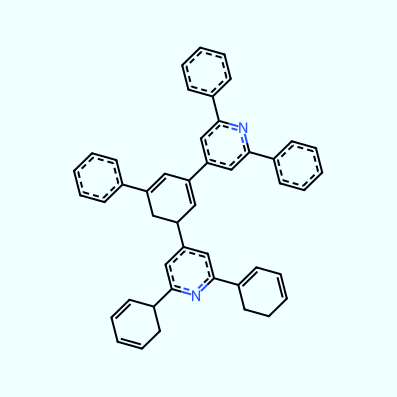 C1=CCCC(c2cc(C3C=C(c4cc(-c5ccccc5)nc(-c5ccccc5)c4)C=C(c4ccccc4)C3)cc(C3C=CC=CC3)n2)=C1